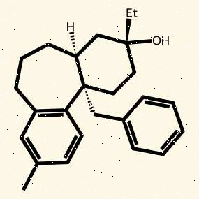 CC[C@@]1(O)CC[C@@]2(Cc3ccccc3)c3ccc(C)cc3CCC[C@H]2C1